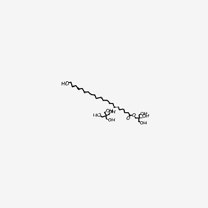 O=C(CCCCCCCCCCCCCCCCCCCCCO)OCC(CO)(CO)CO.OCC(CO)(CO)CO